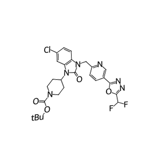 CC(C)(C)OC(=O)N1CCC(n2c(=O)n(Cc3ccc(-c4nnc(C(F)F)o4)cn3)c3ccc(Cl)cc32)CC1